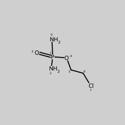 NP(N)(=O)OCCCl